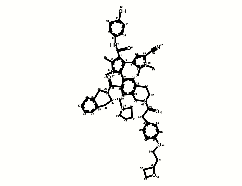 Cc1c(-c2c(C(=O)Nc3ccc(O)cc3)c(C)n(C)c2-c2cc3c(cc2C(=O)N2Cc4ccccc4C[C@H]2CN2CCCC2)CN(C(=O)Cc2ccc(OCCC4CCO4)cc2)CC3)cc(C#N)n1C